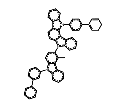 Cc1c(-n2c3ccccc3c3c2ccc2c4ccccc4n(-c4ccc(C5=CCCC=C5)cc4)c23)ccc2c1c1ccccc1n2-c1cccc(-c2ccccc2)c1